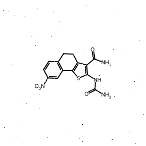 NC(=O)Nc1sc2c(c1C(N)=O)CCc1ccc([N+](=O)[O-])cc1-2